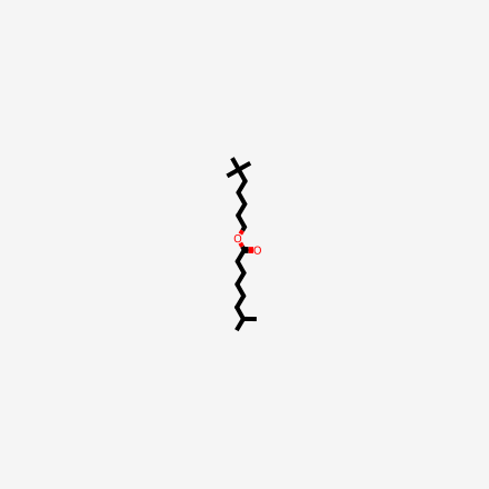 CC(C)CCCCCC(=O)OCCCCCC(C)(C)C